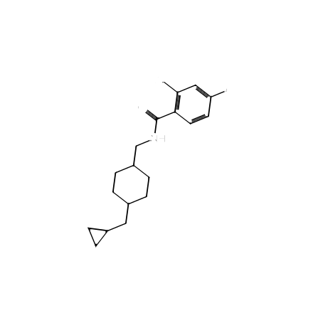 O=C(NCC1CCC(CC2CC2)CC1)c1ccc(Cl)cc1Cl